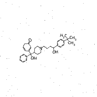 CC(C)(C)c1ccc(C(O)CCCN2CCC(C(O)(C3=CC(=O)CC=C3)c3ccccc3)CC2)cc1